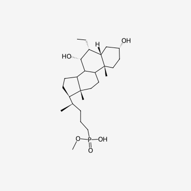 CC[C@H]1[C@@H](O)C2C3CC[C@H]([C@H](C)CCCP(=O)(O)OC)[C@@]3(C)CCC2[C@@]2(C)CC[C@@H](O)C[C@@H]12